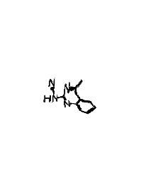 Cc1nc(NC#N)nc2ccccc12